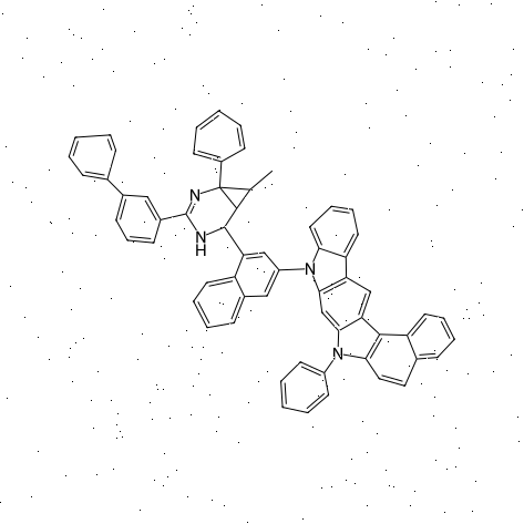 CC1C2C(c3cc(-n4c5ccccc5c5cc6c7c8ccccc8ccc7n(-c7ccccc7)c6cc54)cc4ccccc34)NC(c3cccc(-c4ccccc4)c3)=NC12c1ccccc1